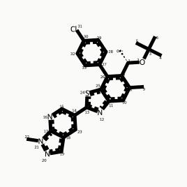 [CH2][C@H](OC(C)(C)C)c1c(C)cc2nc(-c3cnc4c(cnn4C)c3)sc2c1-c1ccc(Cl)cc1